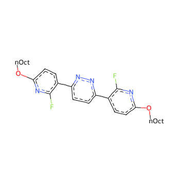 CCCCCCCCOc1ccc(-c2ccc(-c3ccc(OCCCCCCCC)nc3F)nn2)c(F)n1